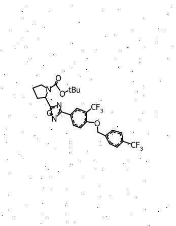 CC(C)(C)OC(=O)N1CCCC1c1nc(-c2ccc(OCc3ccc(C(F)(F)F)cc3)c(C(F)(F)F)c2)no1